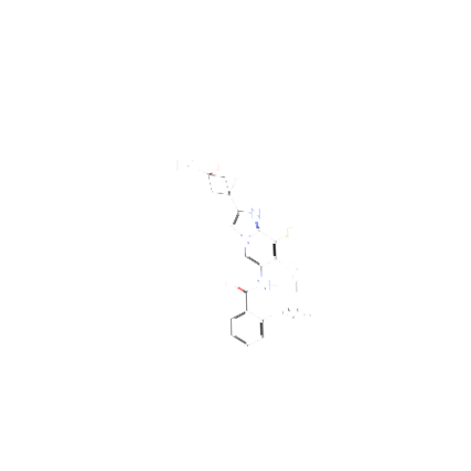 COc1ccccc1C(=O)Nc1cn2cc(C34COC(C)(C3)C4)nc2c(F)c1OC(C)C